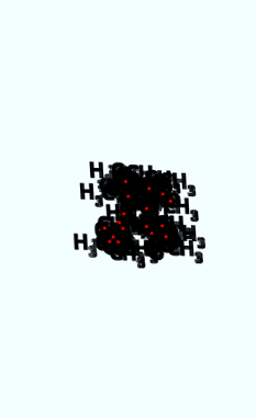 CC(=O)OCC1OC(Oc2cccc(-c3c4nc(c(-c5cccc(OC6OC(COC(C)=O)C(OC(C)=O)C(OC(C)=O)C6OC(C)=O)c5)c5ccc([nH]5)c(-c5cccc(OC6OC(COC(C)=O)C(OC(C)=O)C(OC(C)=O)C6OC(C)=O)c5)c5nc(c(-c6cccc(OC7OC(COC(C)=O)C(OC(C)=O)C(OC(C)=O)C7OC(C)=O)c6)c6ccc3[nH]6)C=C5)C=C4)c2)C(OC(C)=O)C(OC(C)=O)C1OC(C)=O